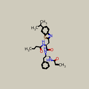 C=CC(=O)NC[C@H](Cc1ccccc1)NC(=O)[C@H](Cc1nc2ccc(C(C)C)cc2s1)NC(=O)CCC